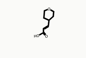 O=C(O)C=CC1CCOCC1